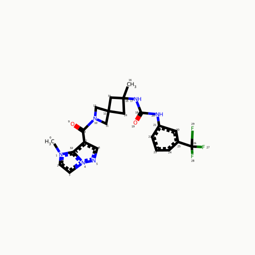 Cn1ccn2ncc(C(=O)N3CC4(C3)CC(C)(NC(=O)Nc3cccc(C(F)(F)F)c3)C4)c12